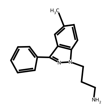 Cc1ccc2c(c1)c(-c1ccccc1)nn2CCCN